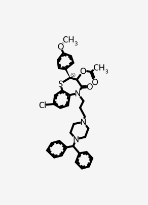 COc1ccc([C@@H]2Sc3cc(Cl)ccc3N(CCCN3CCN(C(c4ccccc4)c4ccccc4)CC3)C(=O)C2OC(C)=O)cc1